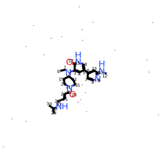 CCN(c1cc(-c2ccnc(NC)c2)c[nH]c1=O)C1CCN(C(=O)/C=C/CNC(C)C)CC1